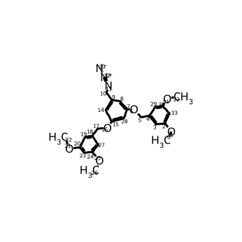 COc1cc(COc2cc(CN=[N+]=[N-])cc(OCc3cc(OC)cc(OC)c3)c2)cc(OC)c1